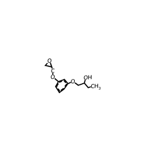 CCC(O)COc1cccc(OCC2CO2)c1